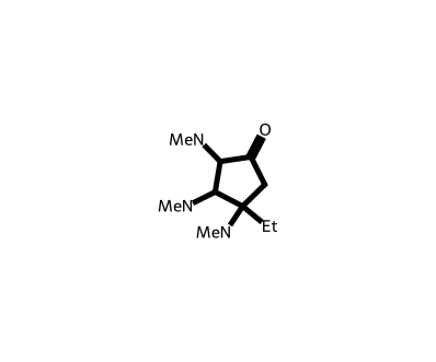 CCC1(NC)CC(=O)C(NC)C1NC